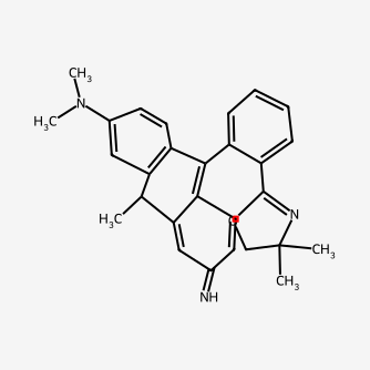 CC1C2=CC(=N)C=CC2=C(c2ccccc2C2=NC(C)(C)CO2)c2ccc(N(C)C)cc21